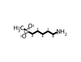 CS(=O)(=O)CCCCCN